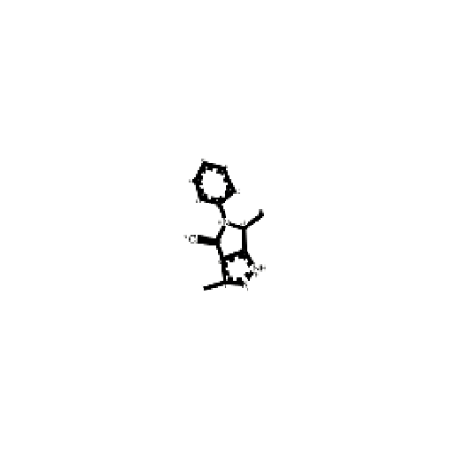 Cc1n[nH]c2c1C(=O)N(c1ccccc1)C2C